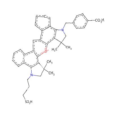 CC1(C)CN(CCCS(=O)(=O)O)c2c1c1[o+]c3c4c(c5ccccc5c3cc1c1ccccc21)N(Cc1ccc(C(=O)O)cc1)CC4(C)C